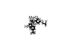 COc1nc(OCC(F)F)ccc1NS(=O)(=O)c1c[nH]c2nc(C(F)F)ccc12